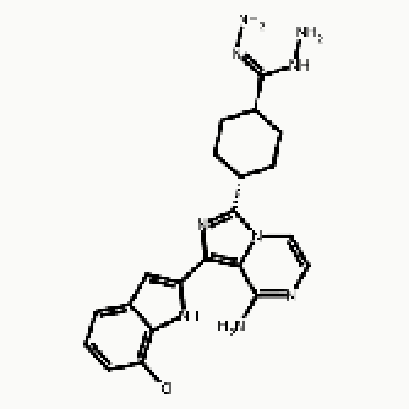 N/N=C(\NN)[C@H]1CC[C@H](c2nc(-c3cc4cccc(Cl)c4[nH]3)c3c(N)nccn32)CC1